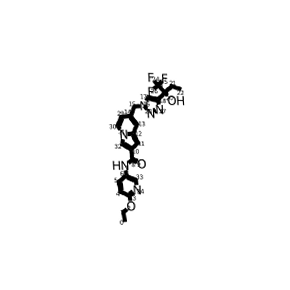 CCOc1ccc(NC(=O)c2cc3cc(Cn4cc(C(O)(CC)C(F)(F)F)nn4)ccn3c2)cn1